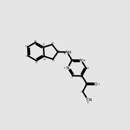 N#CCC(=O)c1cnc(NC2Cc3ccccc3C2)nc1